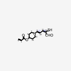 C=CC(=O)OC1CCN(/C=C/C=C(/S)C=O)CC1